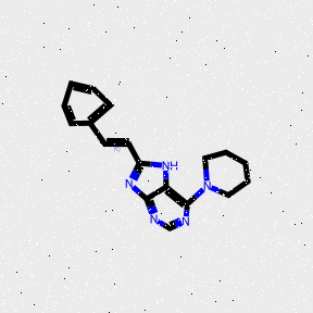 C(=C\c1nc2ncnc(N3CCCCC3)c2[nH]1)/c1ccccc1